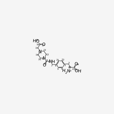 N[C@H](Cc1ccc(CNC(=O)N2CCN(CC(=O)O)CC2)cc1)C(=O)O